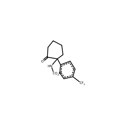 O=C(O)NC1(c2ccc(C(F)(F)F)cc2)CCCCC1=O